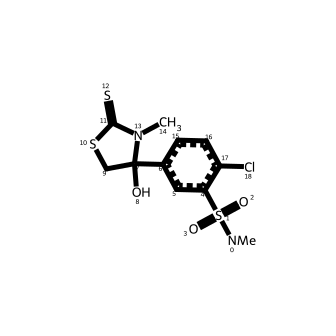 CNS(=O)(=O)c1cc(C2(O)CSC(=S)N2C)ccc1Cl